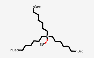 CCCCCCCCCCCCCCCC[Si](CCCCCCCCCCCCCCCC)(CCCCCCCCCCCCCCCC)OCC